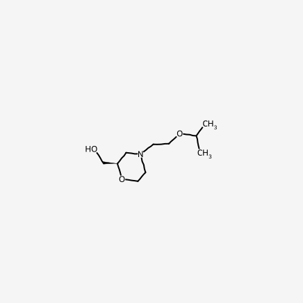 CC(C)OCCN1CCO[C@@H](CO)C1